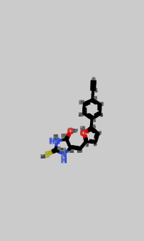 C#Cc1ccc(-c2ccc(C=C3NC(=S)NC3=O)o2)cc1